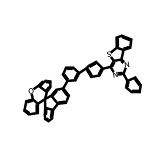 c1ccc(-c2nc(-c3ccc(-c4cccc(-c5ccc6c(c5)C5(c7ccccc7Oc7ccccc75)c5ccccc5-6)c4)cc3)c3sc4ccccc4c3n2)cc1